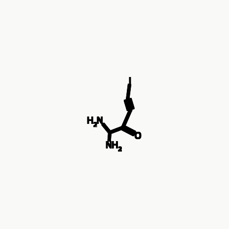 NC(N)C(=O)C#CI